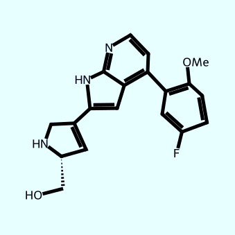 COc1ccc(F)cc1-c1ccnc2[nH]c(C3=C[C@H](CO)NC3)cc12